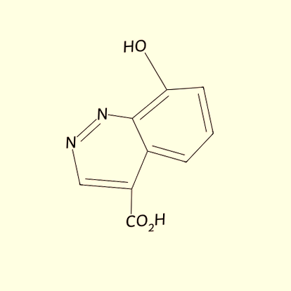 O=C(O)c1cnnc2c(O)cccc12